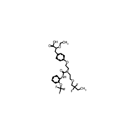 CCOC(Cc1ccc(OCCN(CCOCC(F)(F)CC)C(=O)Nc2ccccc2OC(F)(F)F)cc1)C(=O)O